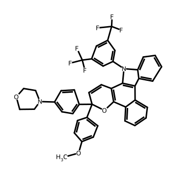 COc1ccc(C2(c3ccc(N4CCOCC4)cc3)C=Cc3c(c4ccccc4c4c5ccccc5n(-c5cc(C(F)(F)F)cc(C(F)(F)F)c5)c34)O2)cc1